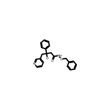 [O]C(CC(=O)NOCc1ccccc1)(Cc1cccnc1)c1ccccc1